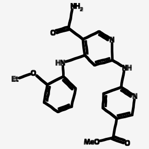 CCOc1ccccc1Nc1cc(Nc2ccc(C(=O)OC)cn2)ncc1C(N)=O